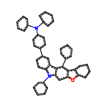 c1ccc(-c2c3c(cc4c2c2cc(-c5ccc(N(c6ccccc6)c6ccccc6)cc5)ccc2n4-c2ccccc2)oc2ccccc23)cc1